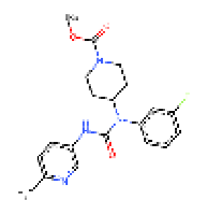 Cc1ccc(NC(=O)N(c2cccc(F)c2)C2CCN(C(=O)OC(C)(C)C)CC2)cn1